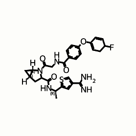 C[C@@H](NC(=O)C1C[C@@H]2C[C@@H]2N1C(=O)CNC(=O)c1ccc(OC2=CCC(F)C=C2)cc1)c1cc(C(=N)N)cs1